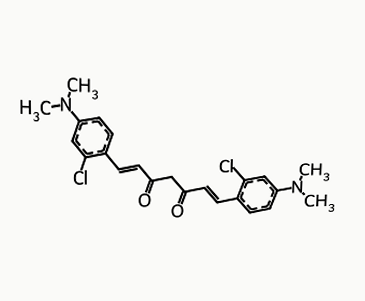 CN(C)c1ccc(C=CC(=O)CC(=O)C=Cc2ccc(N(C)C)cc2Cl)c(Cl)c1